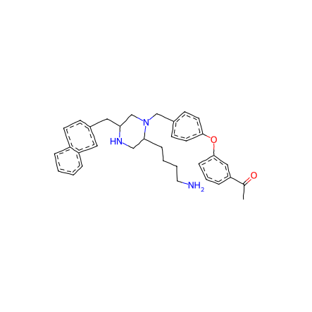 CC(=O)c1cccc(Oc2ccc(CN3CC(Cc4ccc5ccccc5c4)NCC3CCCCN)cc2)c1